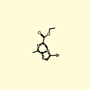 CCOC(=O)c1cn2c(Br)cnc2c(C)n1